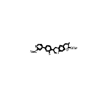 COC(=O)C(C)Cc1ccc2c(c1)CC(c1ccc(-c3ccnc(OC)c3)cc1F)CO2